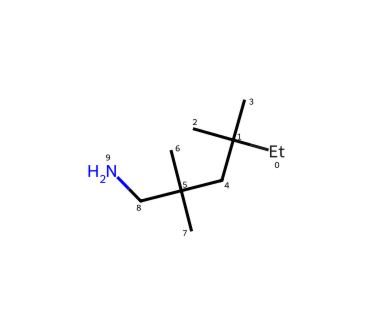 CCC(C)(C)CC(C)(C)CN